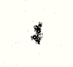 Cc1cc(S(=O)(=O)NC(c2nc3c(F)c(C4(C(=O)N5CC(F)(F)C5)CCOCC4)ccc3[nH]2)C2CCC(F)(F)CC2)c(C)o1